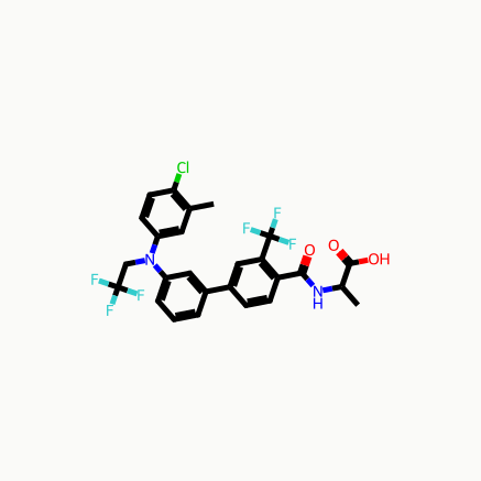 Cc1cc(N(CC(F)(F)F)c2cccc(-c3ccc(C(=O)NC(C)C(=O)O)c(C(F)(F)F)c3)c2)ccc1Cl